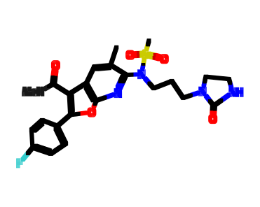 CNC(=O)c1c(-c2ccc(F)cc2)oc2nc(N(CCCN3CCNC3=O)S(C)(=O)=O)c(C)cc12